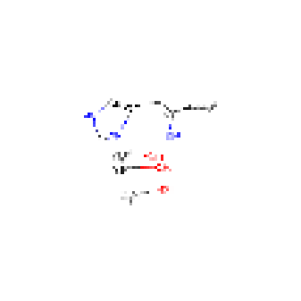 N[C@@H](Cc1c[nH]cn1)C(=O)O.O=[N+]([O-])O.O=[N+]([O-])O.O=[N+]([O-])O